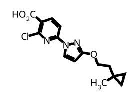 CC1(CCOc2ccn(-c3ccc(C(=O)O)c(Cl)n3)n2)CC1